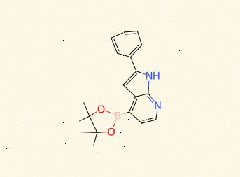 CC1(C)OB(c2ccnc3[nH]c(-c4ccccc4)cc23)OC1(C)C